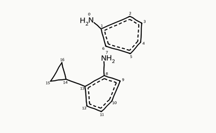 Nc1ccccc1.Nc1ccccc1C1CC1